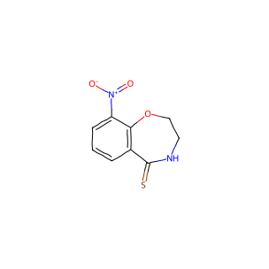 O=[N+]([O-])c1cccc2c1OCCNC2=S